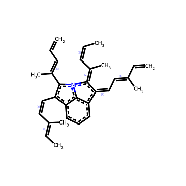 C=C/C=C(\C)c1c(/C=C\C(C)=C\C)c2cccc3c(=C/C=C(\C)C=C)/c(=C(C)/C=C\C)n1c23